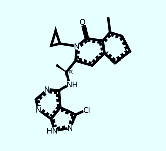 Cc1cccc2cc([C@H](C)Nc3ncnc4[nH]nc(Cl)c34)n(C3CC3)c(=O)c12